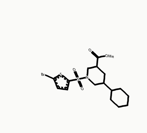 COC(=O)C1CC(C2CCCCC2)CN(S(=O)(=O)c2ccc(Br)s2)C1